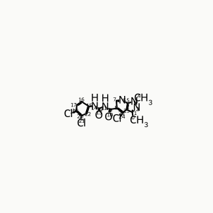 Cc1nn(C)c2ncc(C(=O)NC(=O)Nc3ccc(Cl)c(Cl)c3)c(Cl)c12